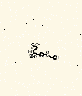 COc1ccc(Nc2cc(-c3ccc(C(=O)NCCc4ccncc4)cc3)nn3ccnc23)nc1OC